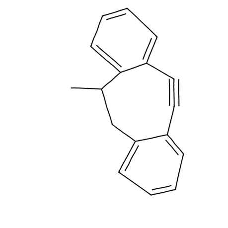 CC1Cc2ccccc2C#Cc2ccccc21